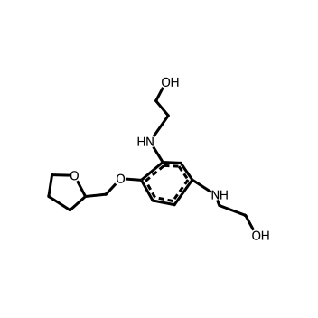 OCCNc1ccc(OCC2CCCO2)c(NCCO)c1